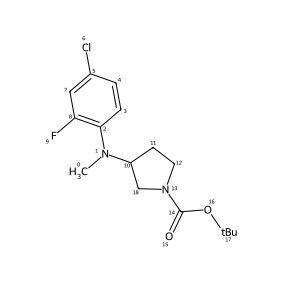 CN(c1ccc(Cl)cc1F)C1CCN(C(=O)OC(C)(C)C)C1